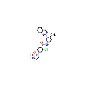 Cc1ccc(NC(=O)c2ccc(N3CCNS3(=O)=O)cc2Cl)cc1-c1ncc2ccccc2n1